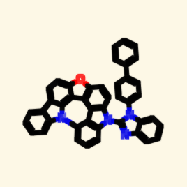 c1ccc(-c2ccc(-n3c(-n4c5ccc6oc7ccc8c9ccccc9n9c%10cccc4c%10c5c6c7c89)nc4ccccc43)cc2)cc1